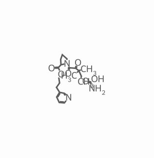 CCC(C)(C)C(=O)C(=O)N1CCCC1C(=O)OCCCc1cccnc1.NC(=O)O